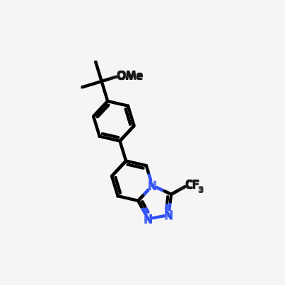 COC(C)(C)c1ccc(-c2ccc3nnc(C(F)(F)F)n3c2)cc1